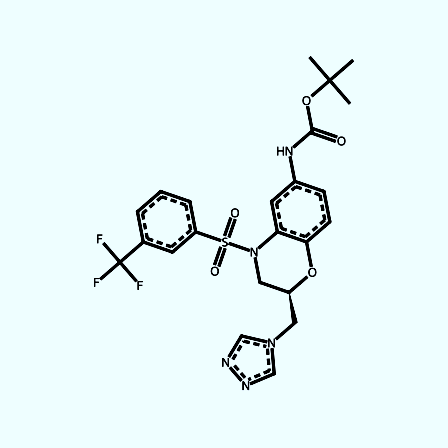 CC(C)(C)OC(=O)Nc1ccc2c(c1)N(S(=O)(=O)c1cccc(C(F)(F)F)c1)C[C@H](Cn1cnnc1)O2